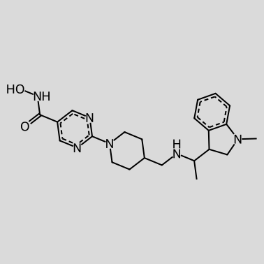 CC(NCC1CCN(c2ncc(C(=O)NO)cn2)CC1)C1CN(C)c2ccccc21